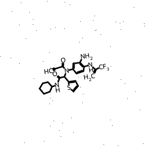 C#CC(=O)N(c1ccc(NC(=C)C(F)(F)F)c(N)c1)C(C(=O)NC1CCCCC1)c1cccs1